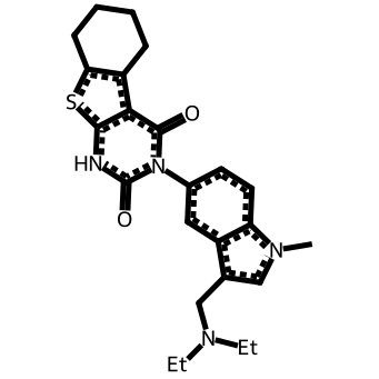 CCN(CC)Cc1cn(C)c2ccc(-n3c(=O)[nH]c4sc5c(c4c3=O)CCCC5)cc12